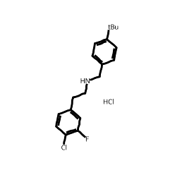 CC(C)(C)c1ccc(CNCCc2ccc(Cl)c(F)c2)cc1.Cl